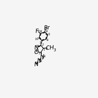 CC1C(c2ccc(Br)c(F)c2)=NOC1N=[N+]=[N-]